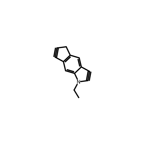 CCn1c#cc2cc3c(cc21)C#CC3